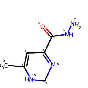 CC1=CC(C(=O)NN)=NCN1